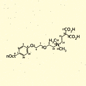 CCCCCCCCc1ccc(OCCOCC[N+](C)(C)CCC(C(=O)O)C(=O)O)cc1